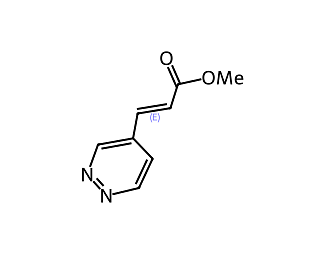 COC(=O)/C=C/c1ccnnc1